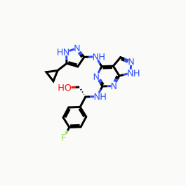 OC[C@H](Nc1nc(Nc2cc(C3CC3)[nH]n2)c2cn[nH]c2n1)c1ccc(F)cc1